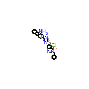 NC1=c2ccccc2=CC12CCN(c1cnc(Sc3ccc4ncn(Cc5ccccc5)c(=O)c4c3Cl)cn1)CC2